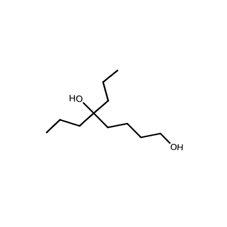 CCCC(O)(CCC)CCCCO